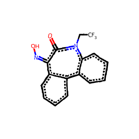 O=c1c(=NO)c2ccccc2c2ccccc2n1CC(F)(F)F